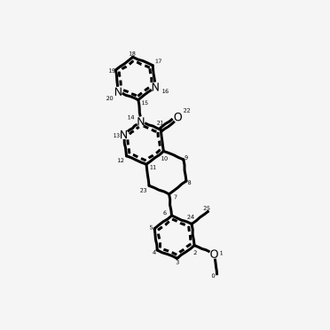 COc1cccc(C2CCc3c(cnn(-c4ncccn4)c3=O)C2)c1C